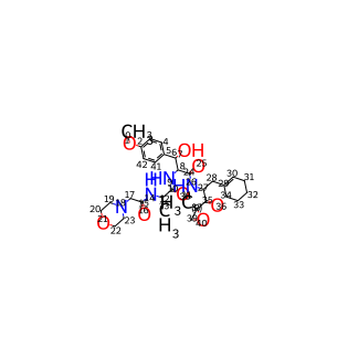 COc1ccc(C(O)C(NC(=O)C(C)NC(=O)CN2CCOCC2)C(=O)NC(CC2=CCCCC2)C(=O)[C@@]2(C)CO2)cc1